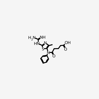 Cc1nc(NC(=N)N)sc1N(C(=O)CCCC(=O)O)c1ccccc1